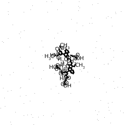 CCCC1/C(=C/C=C/C2=[N+](CCCS(=O)(=O)O)c3c(cc(-c4cc(C(=O)NCC)nc(C(=O)NCC)c4)c4ccccc34)C2(C)C)C(C)(C)c2cc(-c3cc(C(=O)NCCS(=O)(=O)O)nc(C(=O)NCCS(=O)(=O)O)c3)c3ccccc3c21